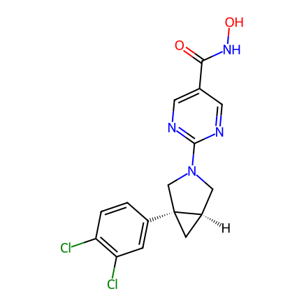 O=C(NO)c1cnc(N2C[C@H]3C[C@@]3(c3ccc(Cl)c(Cl)c3)C2)nc1